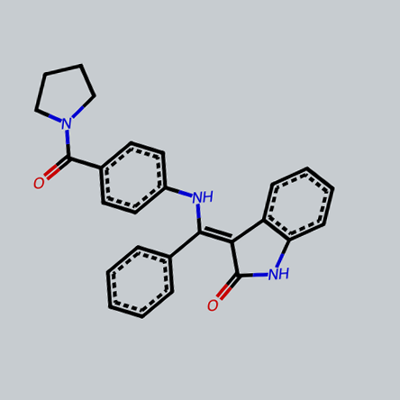 O=C1Nc2ccccc2C1=C(Nc1ccc(C(=O)N2CCCC2)cc1)c1ccccc1